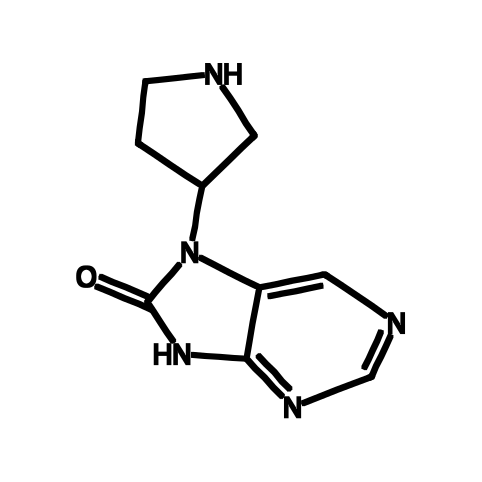 O=c1[nH]c2ncncc2n1C1CCNC1